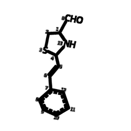 O=CC1CSC(/C=C/c2ccccc2)N1